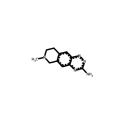 CN1CCc2cc3nnc(N)nc3cc2C1